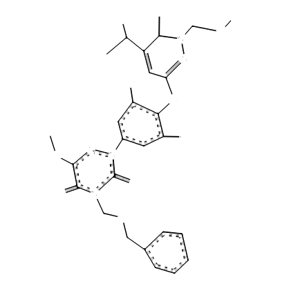 COCN1N=C(Oc2c(Cl)cc(-n3nc(OC)c(=O)n(COCc4ccccc4)c3=O)cc2Cl)C=C(C(C)C)C1O